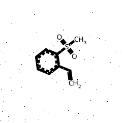 C=Cc1ccccc1S(C)(=O)=O